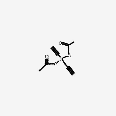 C#C[Si](C#C)(OC(C)=O)OC(C)=O